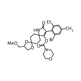 CCc1cc(C)cc(Br)c1C1=C(OC(=O)N2CCOCC2)C2(CCC3(CC2)OCC(COC)O3)NC1=O